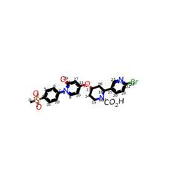 CS(=O)(=O)c1ccc(-n2ccc(OC3CCN(C(=O)O)C(c4ccc(Br)nc4)C3)cc2=O)cc1